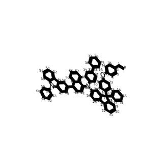 C=Cc1ccc(Oc2ccc(C3(c4ccccc4)c4ccccc4-c4ccc(N(c5ccc(-c6ccccc6)cc5)c5ccc(-c6ccc7c(c6)c6ccccc6n7-c6ccccc6)c6ccccc56)cc43)cc2)cc1